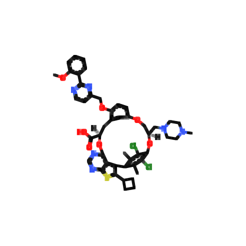 COc1ccccc1-c1nccc(COc2ccc3cc2C[C@H](C(=O)O)Oc2ncnc4sc(C5CCC5)c(c24)-c2c(C)c(Cl)c(c(Cl)c2C)O[C@H](CN2CCN(C)CC2)CO3)n1